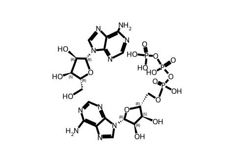 Nc1ncnc2c1ncn2[C@@H]1O[C@H](CO)[C@@H](O)[C@H]1O.Nc1ncnc2c1ncn2[C@@H]1O[C@H](COP(=O)(O)OP(=O)(O)OP(=O)(O)O)[C@@H](O)[C@H]1O